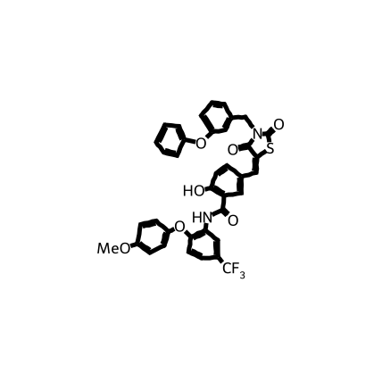 COc1ccc(Oc2ccc(C(F)(F)F)cc2NC(=O)c2cc(/C=C3/SC(=O)N(Cc4cccc(Oc5ccccc5)c4)C3=O)ccc2O)cc1